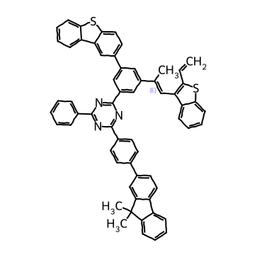 C=Cc1sc2ccccc2c1/C=C(\C)c1cc(-c2ccc3sc4ccccc4c3c2)cc(-c2nc(-c3ccccc3)nc(-c3ccc(-c4ccc5c(c4)C(C)(C)c4ccccc4-5)cc3)n2)c1